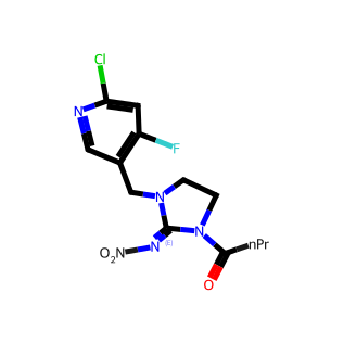 CCCC(=O)N1CCN(Cc2cnc(Cl)cc2F)/C1=N\[N+](=O)[O-]